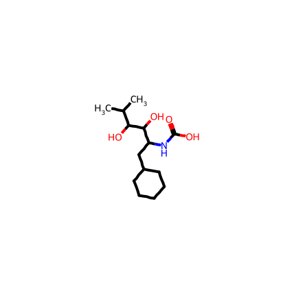 CC(C)C(O)C(O)C(CC1CCCCC1)NC(=O)O